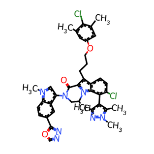 Cc1cc(OCCCc2c3n(c4c(-c5c(C)nn(C)c5C)c(Cl)ccc24)C(C)CN(c2cn(C)c4ccc(-c5nnco5)cc24)C3=O)cc(C)c1Cl